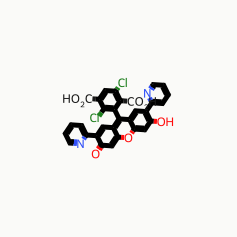 O=C(O)c1cc(Cl)c(C(=O)O)c(-c2c3cc(-c4ccccn4)c(=O)cc-3oc3cc(O)c(-c4ccccn4)cc23)c1Cl